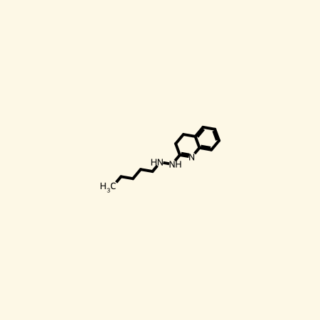 CCCCCNNC1=Nc2ccccc2CC1